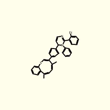 CCc1ccccc1C1=NC=CC(c2ccc(-c3csc4ccccc4c(C)ccc3C)cc2)N1c1ccccc1